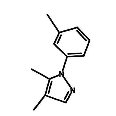 Cc1cccc(-n2ncc(C)c2C)c1